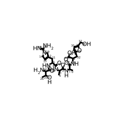 CC(NC(=O)C(C)NC(=O)C(CC1=CCN(C(=N)N)C1)NC(=O)C(N)C(C)O)C(=O)NC(Cc1ccc(CO)o1)C(=O)O